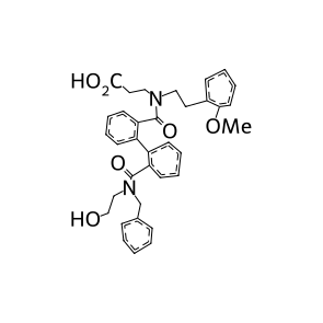 COc1ccccc1CCN(CCC(=O)O)C(=O)c1ccccc1-c1ccccc1C(=O)N(CCO)Cc1ccccc1